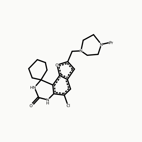 CC(C)N1CCN(Cc2cc3cc(Cl)c4c(c3o2)C2(CCCCC2)NC(=O)N4)CC1